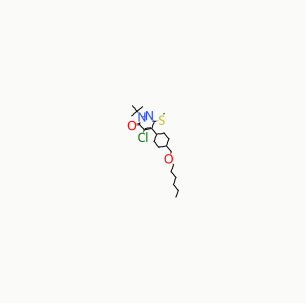 CCCCCCOCC1CCC(c2c(SC)nn(C(C)(C)C)c(=O)c2Cl)CC1